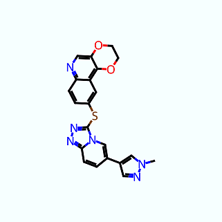 Cn1cc(-c2ccc3nnc(Sc4ccc5ncc6c(c5c4)OCCO6)n3c2)cn1